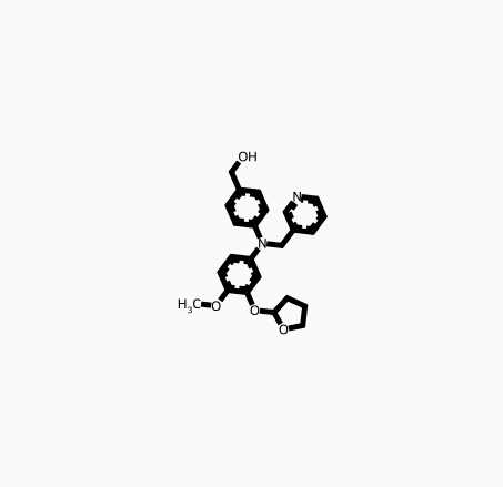 COc1ccc(N(Cc2cccnc2)c2ccc(CO)cc2)cc1OC1CCCO1